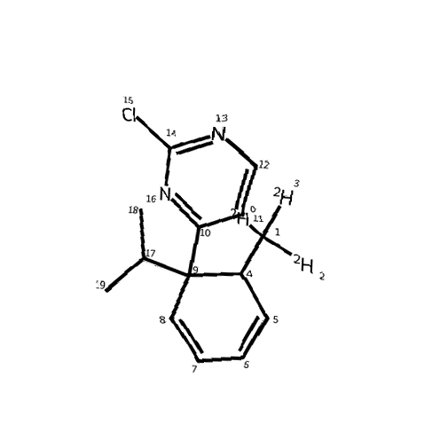 [2H]C([2H])([2H])C1C=CC=CC1(c1ccnc(Cl)n1)C(C)C